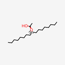 CC(=O)O.CCCCCCC[CH2][Sn][CH2]CCCCCCC